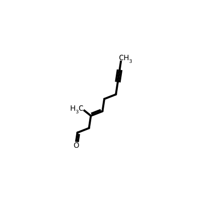 CC#CCC/C=C(\C)CC=O